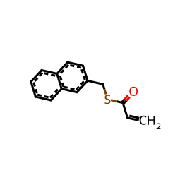 C=CC(=O)SCc1ccc2ccccc2c1